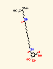 CN[C@@H](CCCCNC(=O)CCCCCCCCCCCCCCNC(=O)c1cc(B(O)O)cc(B(O)O)c1)C(=O)O